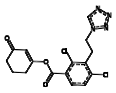 O=C1C=C(OC(=O)c2ccc(Cl)c(CCn3cnnn3)c2Cl)CCC1